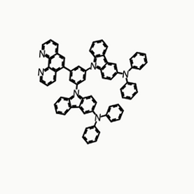 c1ccc(N(c2ccccc2)c2ccc3c(c2)c2ccccc2n3-c2cc(-c3cc4cccnc4c4ncccc34)cc(-n3c4ccccc4c4cc(N(c5ccccc5)c5ccccc5)ccc43)c2)cc1